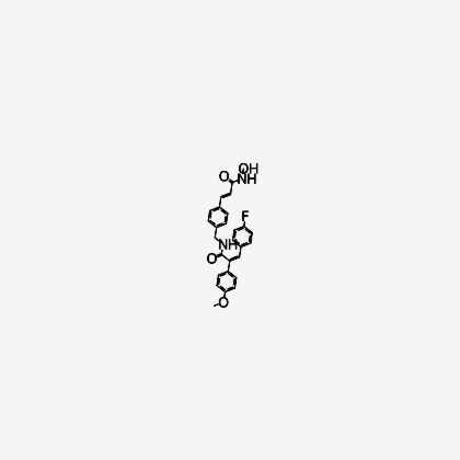 COc1ccc(C(=Cc2ccc(F)cc2)C(=O)NCc2ccc(C=CC(=O)NO)cc2)cc1